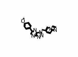 COc1ccc(-c2cnc3nnn(Cc4ccc5nccn5c4)c3n2)cc1